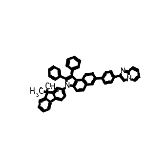 CC1(C)c2ccccc2-c2ccc(-n3c(-c4ccccc4)c(-c4ccccc4)c4c5ccc(-c6ccc(-c7cn8ccccc8n7)cc6)cc5ccc43)cc21